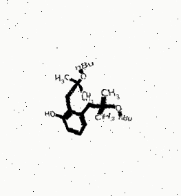 CCCCOC(C)(C)Cc1cccc(O)c1CC(C)(C)OCCCC